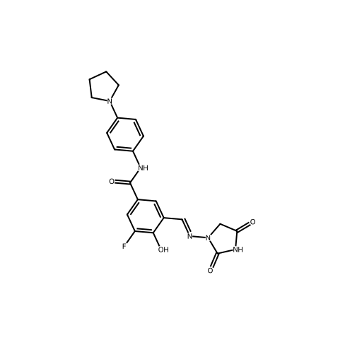 O=C1CN(N=Cc2cc(C(=O)Nc3ccc(N4CCCC4)cc3)cc(F)c2O)C(=O)N1